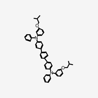 CC(C)COc1cccc(N(c2ccccc2)c2ccc(-c3ccc(-c4ccc(N(c5ccccc5)c5cccc(OCC(C)C)c5)cc4)cc3)cc2)c1